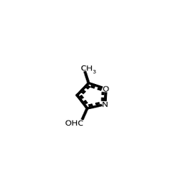 Cc1cc(C=O)no1